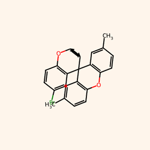 Cc1ccc2c(c1)C1(c3ccccc3Oc3ccc(Br)cc31)c1cc(C)ccc1O2